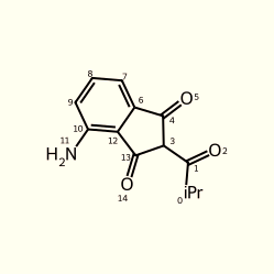 CC(C)C(=O)C1C(=O)c2cccc(N)c2C1=O